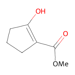 COC(=O)C1=C(O)CCC1